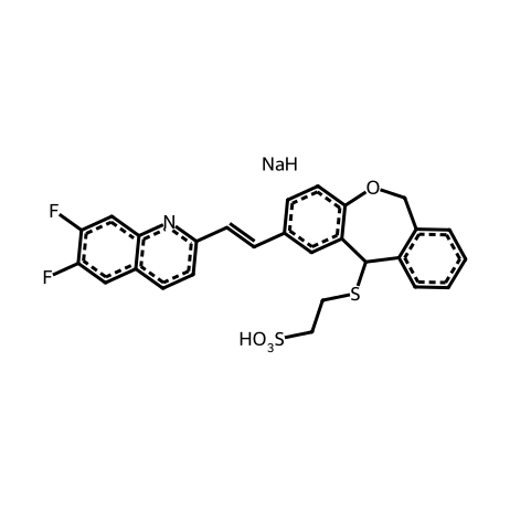 O=S(=O)(O)CCSC1c2ccccc2COc2ccc(C=Cc3ccc4cc(F)c(F)cc4n3)cc21.[NaH]